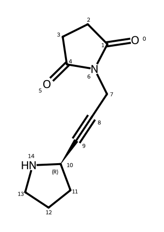 O=C1CCC(=O)N1CC#C[C@H]1CCCN1